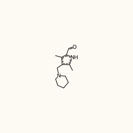 Cc1[nH]c(C=O)c(C)c1CN1CCCCC1